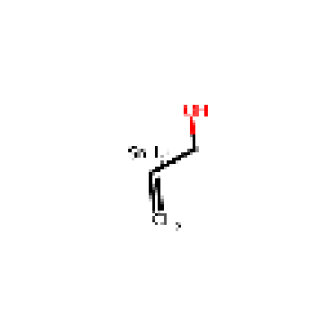 C=CCO.[SnH2]